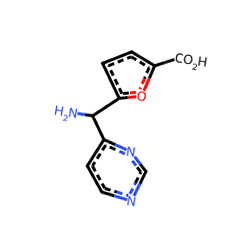 NC(c1ccncn1)c1ccc(C(=O)O)o1